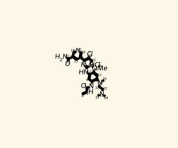 C=CC(=O)Nc1cc(Nc2ncc(Cl)c(-c3cncc(C(N)=O)c3)n2)c(OC)cc1N(C)CCN(C)C.Cl